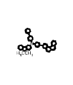 CC1(C)c2ccccc2-c2cc(N(c3ccc(-c4ccccc4)cc3)c3ccc(-c4ccc5c(ccc6ccc7ccccc7c65)c4)cc3)ccc21